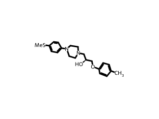 CSc1ccc(N2CCN(C[C@H](O)COc3ccc(C)cc3)CC2)cc1